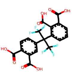 O=C(O)c1ccc(C(c2cccc(C(=O)O)c2C(=O)O)(C(F)(F)F)C(F)(F)F)cc1C(=O)O